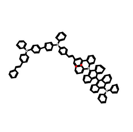 C(=C\c1ccc(N(c2ccccc2)c2ccc(-c3ccc(N(c4ccccc4)c4ccc(/C=C/c5cccc(-c6ccccc6N(c6ccccc6)c6c7ccccc7c(-c7c8ccccc8c(N(c8ccccc8)c8ccccc8)c8ccccc78)c7ccccc67)c5)cc4)cc3)cc2)cc1)/c1ccccc1